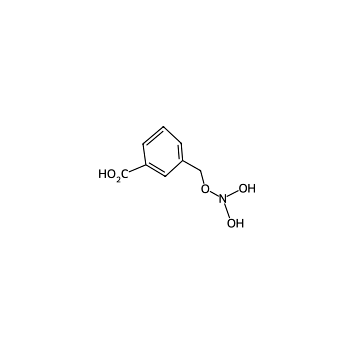 O=C(O)c1cccc(CON(O)O)c1